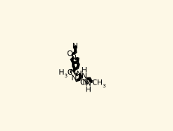 Cc1cc(Nc2nc(N(C)C3CCC4CN(C(=O)CC#N)CC4C3)ncc2Cl)n[nH]1